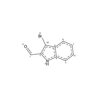 O=Cc1[nH]c2ccccc2c1Br